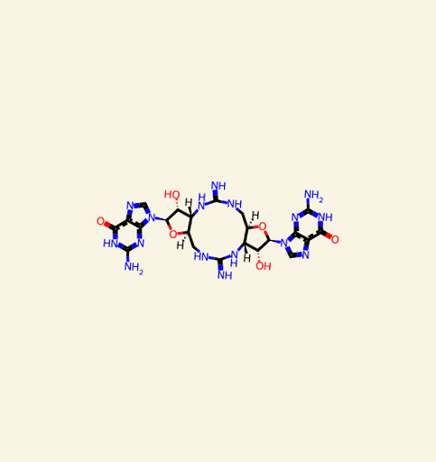 N=C1NC[C@H]2O[C@@H](n3cnc4c(=O)[nH]c(N)nc43)[C@H](O)[C@@H]2NC(=N)NC[C@H]2O[C@@H](n3cnc4c(=O)[nH]c(N)nc43)[C@H](O)[C@@H]2N1